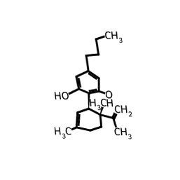 C=C(C)[C@]1(C)CCC(C)=C[C@H]1c1c(O)cc(CCCC)cc1O